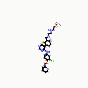 COCCNCCn1cc2c(n1)CCc1c-2sc2ncnc(Nc3ccc(OCc4ccccn4)c(Cl)c3)c12